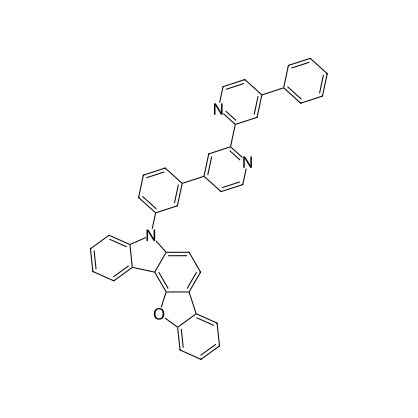 c1ccc(-c2ccnc(-c3cc(-c4cccc(-n5c6ccccc6c6c7oc8ccccc8c7ccc65)c4)ccn3)c2)cc1